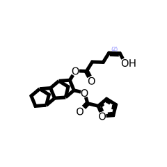 O=C(CC/C=C\O)OC1C2CC(C1OC(=O)c1ccco1)C1C3CCC(C3)C21